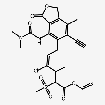 C#Cc1c(C)c2c(c(NC(=O)N(C)C)c1C/C=C(/Cl)C(C)C(C(=O)OC=S)S(C)(=O)=O)C(=O)OC2